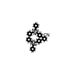 N#Cc1cccc(-c2ccc(-c3nc(-c4ccccc4)nc(-c4ccccc4)n3)cc2)c1-c1ccc(-c2nc(-c3ccccc3)nc(-c3ccccc3)n2)cc1